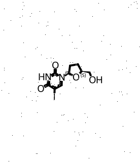 O=c1[nH]c(=O)n([C@H]2CC[C@@H](CO)O2)cc1I